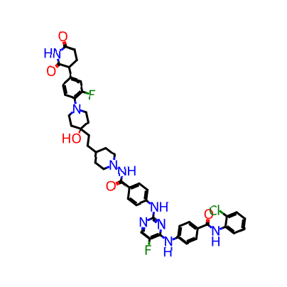 O=C1CCC(c2ccc(N3CCC(O)(CCC4CCN(NC(=O)c5ccc(Nc6ncc(F)c(Nc7ccc(C(=O)Nc8ccccc8Cl)cc7)n6)cc5)CC4)CC3)c(F)c2)C(=O)N1